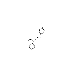 CN(C)c1ccc(NC(=O)Nc2ccnc3ccccc23)cc1